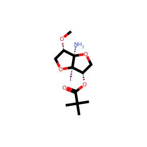 CO[C@H]1CO[C@]2(I)[C@@H](OC(=O)C(C)(C)C)CO[C@]12N